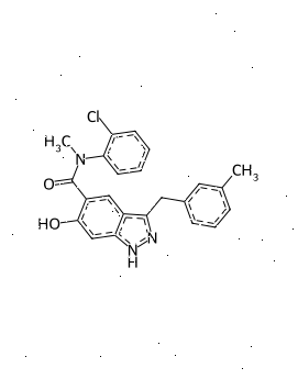 Cc1cccc(Cc2n[nH]c3cc(O)c(C(=O)N(C)c4ccccc4Cl)cc23)c1